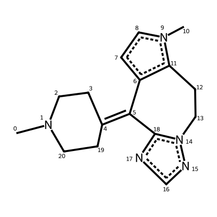 CN1CCC(=C2c3ccn(C)c3CCn3ncnc32)CC1